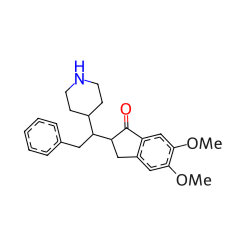 COc1cc2c(cc1OC)C(=O)C(C(Cc1ccccc1)C1CCNCC1)C2